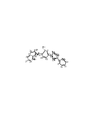 Fc1cc(-n2nnc(-c3ccccn3)n2)ccc1-n1ccc2cccnc21